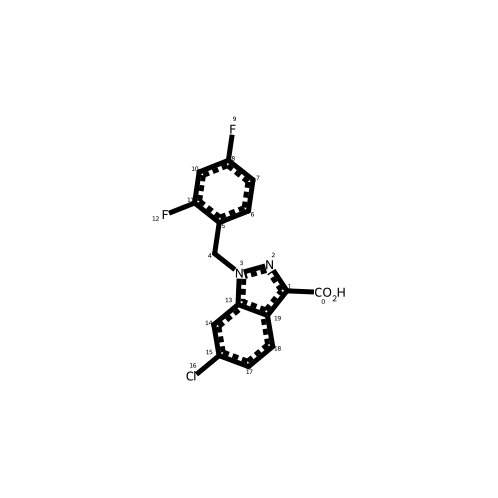 O=C(O)c1nn(Cc2ccc(F)cc2F)c2cc(Cl)ccc12